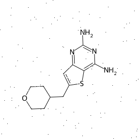 Nc1nc(N)c2sc(CC3CCOCC3)cc2n1